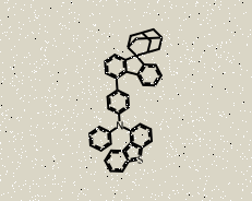 c1ccc(N(c2ccc(-c3cccc4c3-c3ccccc3C43C4CC5CC(C4)CC3C5)cc2)c2cccc3sc4ccccc4c23)cc1